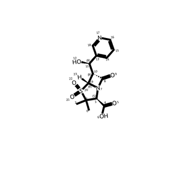 CC1(C)[C@H](C(=O)O)N2C(=O)[C@@H]([C@@H](O)c3cccnc3)[C@H]2S1(=O)=O